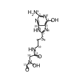 Nc1nc(O)c2nc(SCCNC(=O)CN(O)C=O)[nH]c2n1